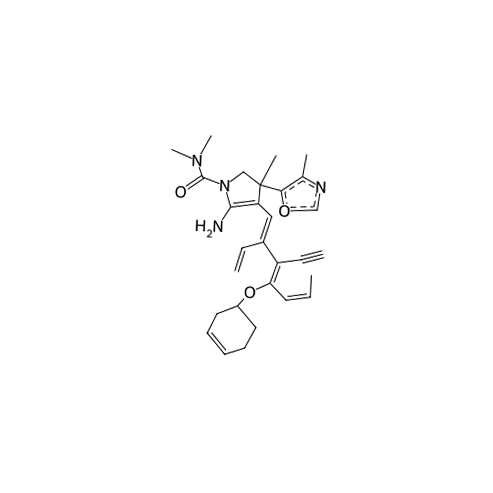 C#CC(/C(C=C)=C/C1=C(N)N(C(=O)N(C)C)CC1(C)c1ocnc1C)=C(\C=C/C)OC1CC=CCC1